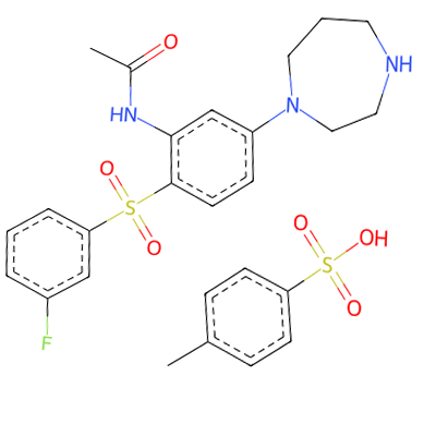 CC(=O)Nc1cc(N2CCCNCC2)ccc1S(=O)(=O)c1cccc(F)c1.Cc1ccc(S(=O)(=O)O)cc1